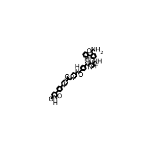 NC(=O)c1ccc(Nc2nc(Nc3ccc(C(=O)NC4CCN(CC(=O)N5CCN(c6ccc(C7CCC(=O)NC7=O)cc6)CC5)CC4)cc3)ncc2F)cc1-c1ccccc1Cl